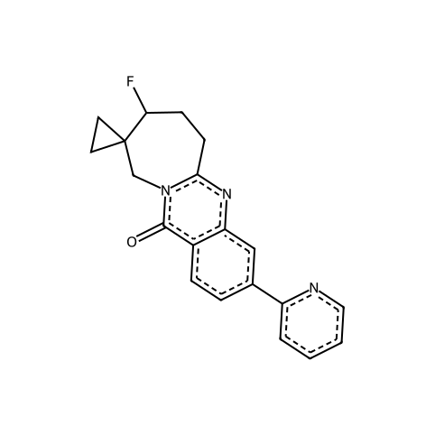 O=c1c2ccc(-c3ccccn3)cc2nc2n1CC1(CC1)C(F)CC2